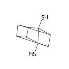 SC12C3C4C5C3C1(S)C5C42